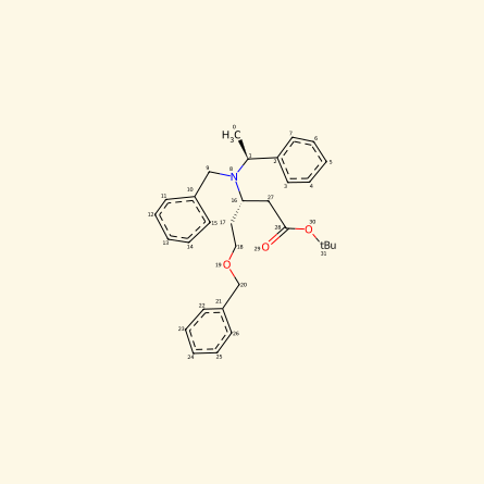 C[C@@H](c1ccccc1)N(Cc1ccccc1)[C@@H](CCOCc1ccccc1)CC(=O)OC(C)(C)C